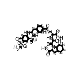 C[C@H](N[C@@H](CNC(=O)c1ccc(CC2Nc3cc(Cl)c(S(N)(=O)=O)cc3S(=O)(=O)N2)cc1)C(=O)O)C(=O)N1C(C(=O)O)CC2CCCCC21